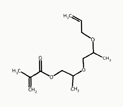 C=CCOC(C)COC(C)COC(=O)C(=C)C